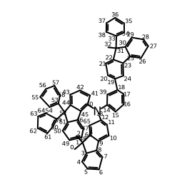 CC1(C)c2ccccc2-c2ccc(N(c3cccc(-c4ccc5c(c4)-c4ccccc4C5(C)c4ccccc4)c3)c3cccc4c3-c3ccccc3C4(c3ccccc3)c3ccccc3)cc21